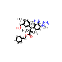 CCN(N)c1ccc(C(c2ccc(C)c(CO)c2)C(C)(C)C(=O)OCc2ccccc2)c(C)c1N